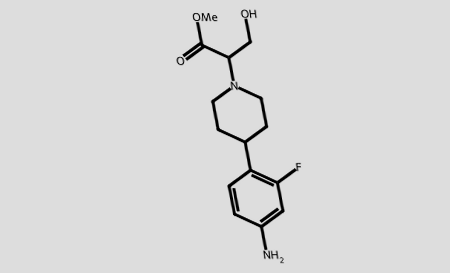 COC(=O)C(CO)N1CCC(c2ccc(N)cc2F)CC1